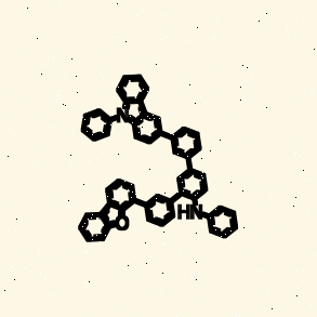 c1ccc(Nc2ccc(-c3cccc(-c4ccc5c(c4)c4ccccc4n5-c4ccccc4)c3)cc2-c2cccc(-c3cccc4c3oc3ccccc34)c2)cc1